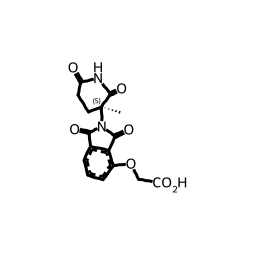 C[C@]1(N2C(=O)c3cccc(OCC(=O)O)c3C2=O)CCC(=O)NC1=O